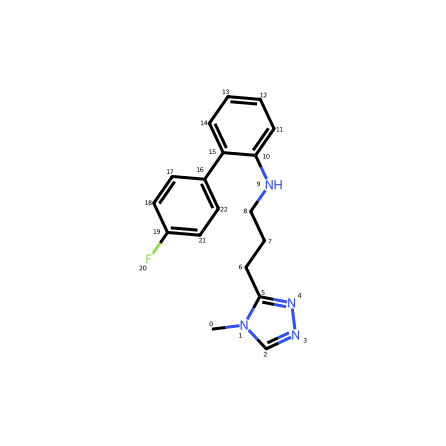 Cn1cnnc1CCCNc1ccccc1-c1ccc(F)cc1